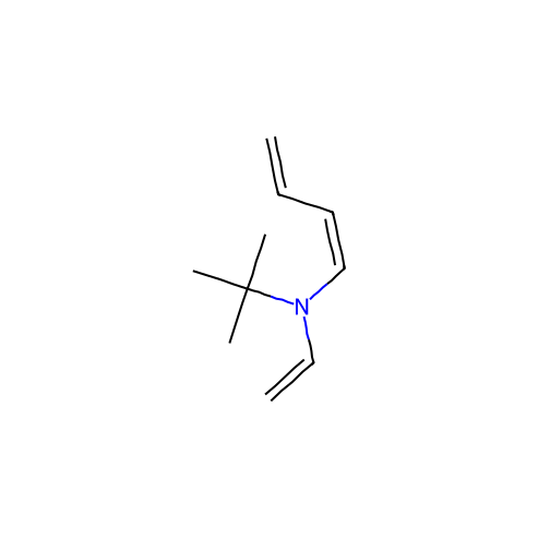 C=C/C=C\N(C=C)C(C)(C)C